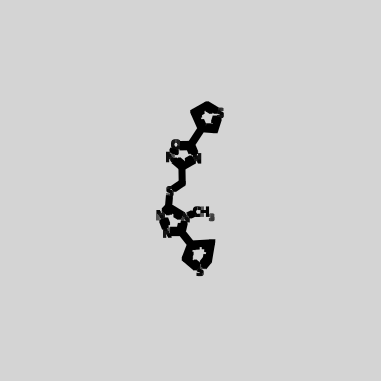 Cn1c(SCc2noc(-c3ccsc3)n2)nnc1-c1ccsc1